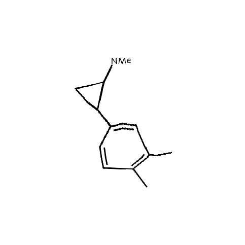 CNC1CC1c1ccc(C)c(C)c1